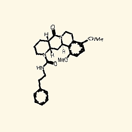 COc1ccc(OC)c2c1CCN1C(=O)[C@H]3CCCN(C(=O)NCCc4ccccc4)[C@H]3C[C@H]21